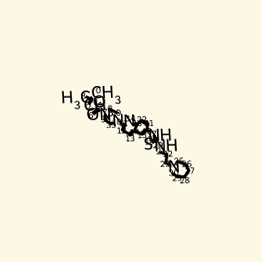 CC(C)(C)OC(=O)N1CCN(c2ccc3cc(NC(=S)NCCCN4CCCCCC4)ccc3n2)CC1